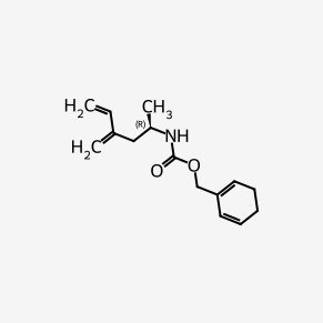 C=CC(=C)C[C@@H](C)NC(=O)OCC1=CCCC=C1